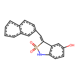 O=S1(=O)Nc2ccc(O)cc2C1=Cc1ccc2ccccc2c1